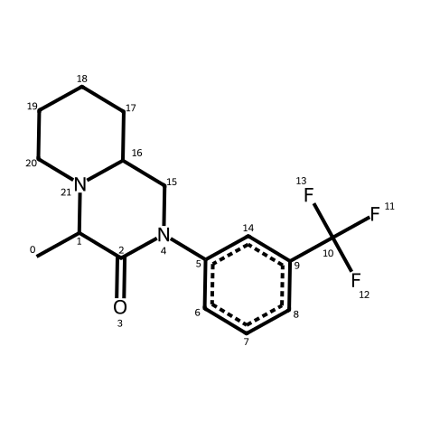 CC1C(=O)N(c2cccc(C(F)(F)F)c2)CC2CCCCN21